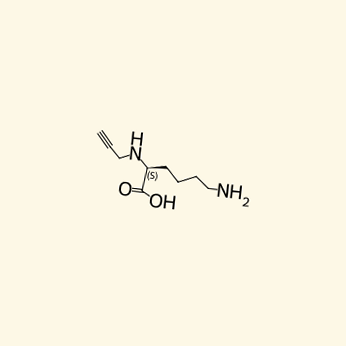 C#CCN[C@@H](CCCCN)C(=O)O